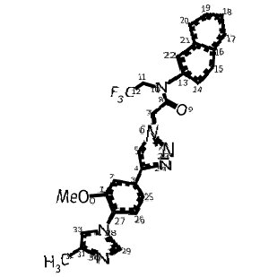 COc1cc(-c2cn(CC(=O)N(CC(F)(F)F)c3ccc4ccccc4c3)nn2)ccc1-n1cnc(C)c1